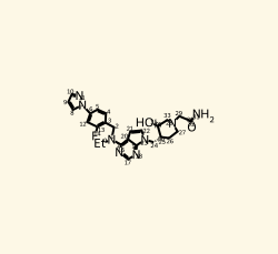 CCN(Cc1ccc(-n2cccn2)cc1F)c1ncnc2c1ccn2C[C@H]1CCN(CC(N)=O)C[C@@H]1O